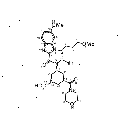 COCCCCn1c(C(=O)N(CC(C)C)[C@H]2C[C@@H](C(=O)N3CCOCC3)CN(C(=O)O)C2)nc2ccc(OC)cc21